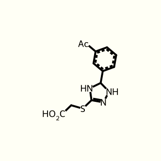 CC(=O)c1cccc(C2NN=C(SCC(=O)O)N2)c1